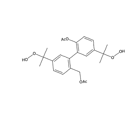 CC(=O)OCc1ccc(C(C)(C)OO)cc1-c1cc(C(C)(C)OO)ccc1OC(C)=O